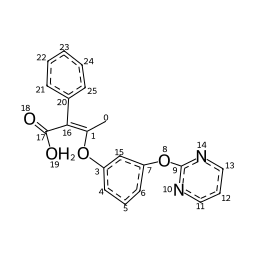 CC(Oc1cccc(Oc2ncccn2)c1)=C(C(=O)O)c1ccccc1